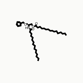 CCCCCCCCCCCCCCCC(=O)N[C@@H](COCc1ccccc1)COC(=O)CCCCCCCCCCCCCCC